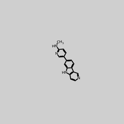 CNc1ccc(-c2ccc3c(c2)[nH]c2ccncc23)cn1